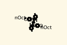 CCCCCCCCOc1ccc(-n2c(C(C)(C)c3nc4ccc(C)cc4n3-c3ccc(OCCCCCCCC)cc3)nc3ccc(C)cc32)cc1